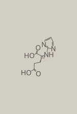 O=C(O)CC[C@H](Nc1ncccn1)C(=O)O